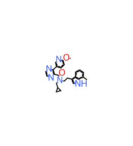 COc1ccc(-c2nccnc2C(=O)N(CCc2c[nH]c3c(C)cccc23)CC2CC2)cn1